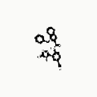 N#Cc1ccc(NC(=O)c2cc3ccccc3n2Cc2ccccc2)c(-c2noc(=O)[nH]2)c1